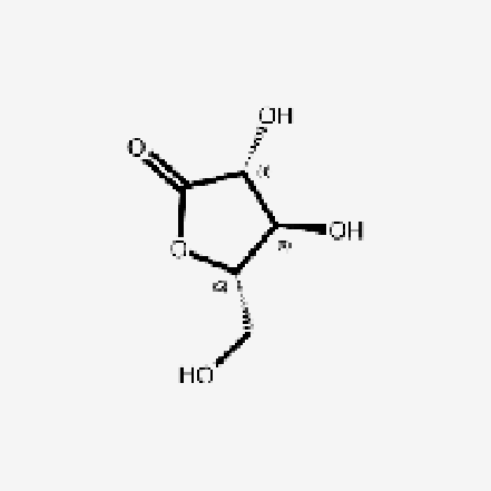 O=C1O[C@@H](CO)[C@H](O)[C@H]1O